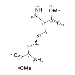 COC(=O)C(N)CSSCC(N=N)C(=O)OC